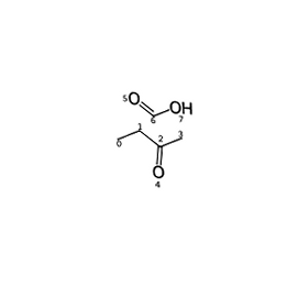 CCC(C)=O.O=CO